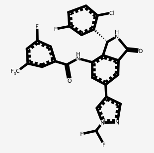 O=C(Nc1cc(-c2cnn(C(F)F)c2)cc2c1[C@H](c1cc(F)ccc1Cl)NC2=O)c1cc(F)cc(C(F)(F)F)c1